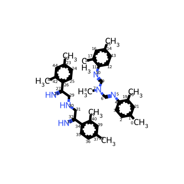 Cc1ccc(/N=C/N(C)/C=N/c2ccc(C)cc2C)c(C)c1.Cc1ccc(C(=N)CNCC(=N)c2ccc(C)cc2C)c(C)c1